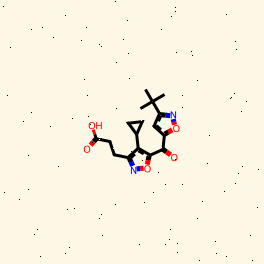 CC(C)(C)c1cc(C(=O)c2onc(CCC(=O)O)c2C2CC2)on1